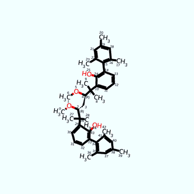 CO[C@H](C[C@@H](OC)C(C)(C)c1cccc(-c2c(C)cc(C)cc2C)c1O)C(C)(C)c1cccc(-c2c(C)cc(C)cc2C)c1O